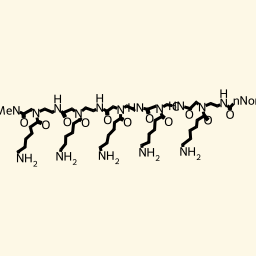 CCCCCCCCCC(=O)NCCN(CC(=O)NCCN(CC(=O)NCCN(CC(=O)NCCN(CC(=O)NCCN(CC(=O)NC)C(=O)CCCCCN)C(=O)CCCCCN)C(=O)CCCCCN)C(=O)CCCCCN)C(=O)CCCCCN